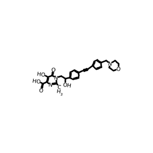 Cc1nc(C(=O)O)c(O)c(=O)n1CC(O)c1ccc(C#Cc2ccc(CN3CCOCC3)cc2)cc1